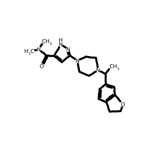 CC(c1ccc2c(c1)OCC2)N1CCN(c2cc(C(=O)N(C)C)[nH]n2)CC1